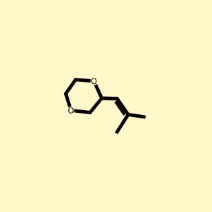 CC(C)=CC1COCCO1